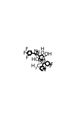 Cc1ccnnc1[C@H](S[C@@H]1O[C@H](CO)[C@H](O)[C@H](n2cc(-c3cc(F)c(F)c(F)c3)nn2)[C@H]1O)C1(O)CCC(F)(F)CC1